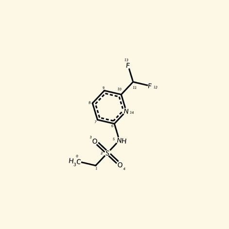 CCS(=O)(=O)Nc1cccc(C(F)F)n1